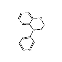 [c]1ncccc1N1CCOc2ccccc21